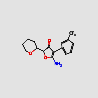 NC1=C(c2cccc(C(F)(F)F)c2)C(=O)C(C2CCCCO2)O1